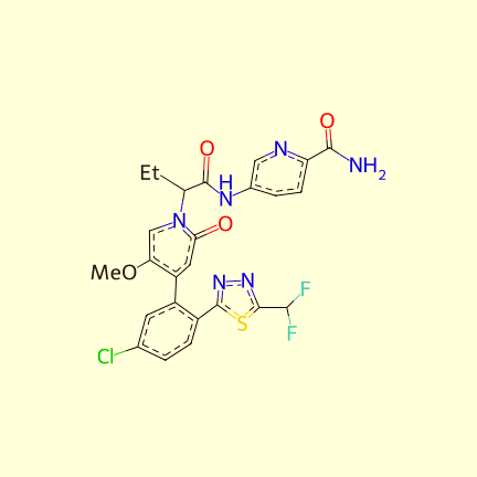 CCC(C(=O)Nc1ccc(C(N)=O)nc1)n1cc(OC)c(-c2cc(Cl)ccc2-c2nnc(C(F)F)s2)cc1=O